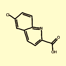 O=C(O)c1ccc2cc(Cl)ccc2n1